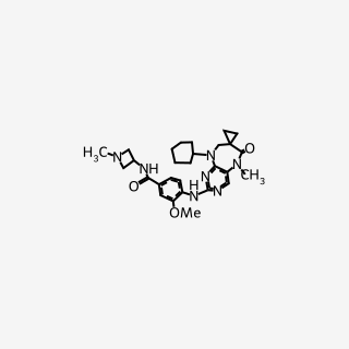 COc1cc(C(=O)NC2CN(C)C2)ccc1Nc1ncc2c(n1)N(C1CCCCC1)CC1(CC1)C(=O)N2C